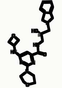 O=C(NC[C@H](O)CN1Cc2ccccc2C1)c1cc(NC2COC2)nc(N2CCOCC2)n1